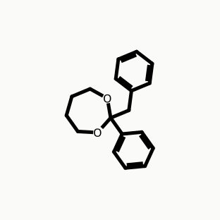 c1ccc(CC2(c3ccccc3)OCCCCO2)cc1